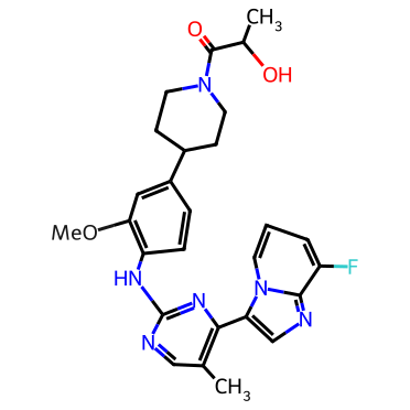 COc1cc(C2CCN(C(=O)C(C)O)CC2)ccc1Nc1ncc(C)c(-c2cnc3c(F)cccn23)n1